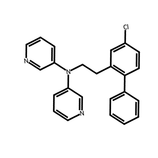 Clc1ccc(-c2ccccc2)c(CCN(c2cccnc2)c2cccnc2)c1